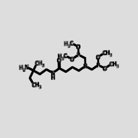 CCC(C)(N)CCNC(=O)CCCN(CP(OC)OC)CP(OC)OC